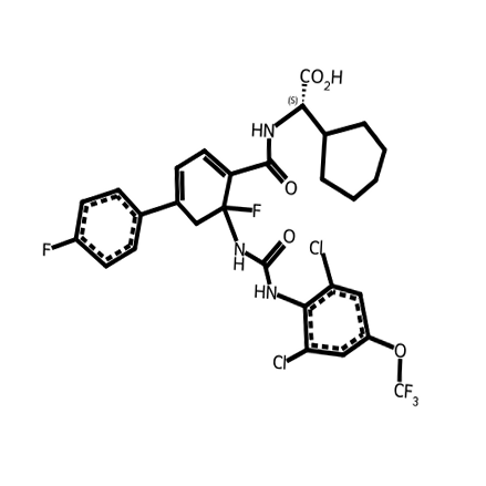 O=C(Nc1c(Cl)cc(OC(F)(F)F)cc1Cl)NC1(F)CC(c2ccc(F)cc2)=CC=C1C(=O)N[C@H](C(=O)O)C1CCCCC1